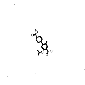 COC(=O)N1CCC(c2cc(OC(C)C)c([N+](=O)[O-])cc2C)CC1